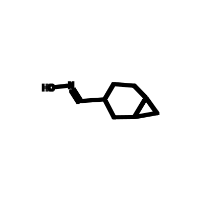 O/N=C/C1CCC2CC2C1